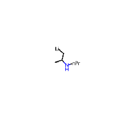 [Li][CH2]C(C)NCCC